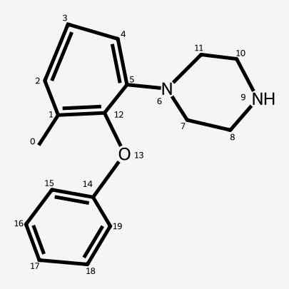 Cc1cccc(N2CCNCC2)c1Oc1ccccc1